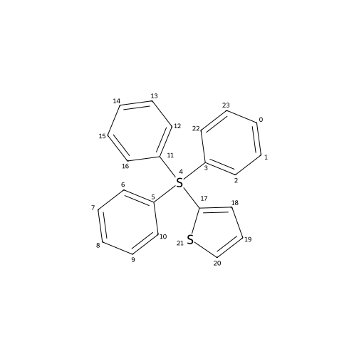 c1ccc(S(c2ccccc2)(c2ccccc2)c2cccs2)cc1